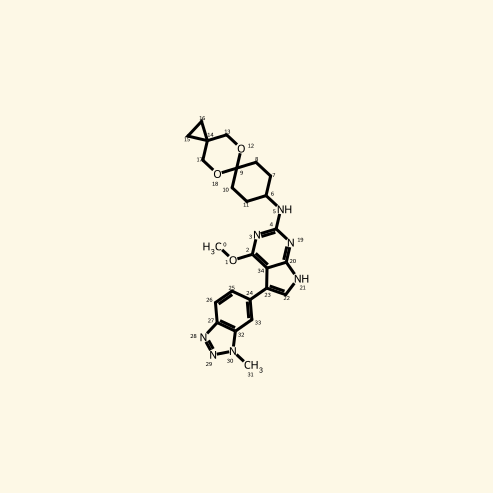 COc1nc(NC2CCC3(CC2)OCC2(CC2)CO3)nc2[nH]cc(-c3ccc4nnn(C)c4c3)c12